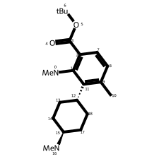 CNc1c(C(=O)OC(C)(C)C)ccc(C)c1[C@H]1CC[C@H](NC)CC1